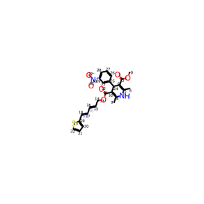 COC(=O)C1=C(C)NC(C)=C(C(=O)OC/C=C/C=C/c2cccs2)C1c1cccc([N+](=O)[O-])c1